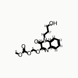 COC(=O)OCOc1nc2ccccc2n(CCCO)c1=O